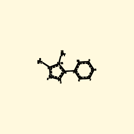 CC(C)c1nnc(-c2ccccc2)n1C(C)C